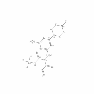 C=CC(=O)N(Nc1nc(N)cc(N2CCN(C)CC2)n1)C(=O)OC(C)(C)C